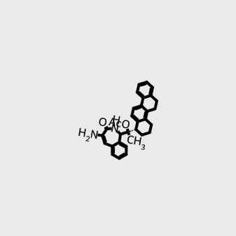 CC(=O)OC(C)(C1NC(=O)C(N)=Cc2ccccc21)[C@H]1CCCc2c1ccc1c2CCc2ccccc2-1